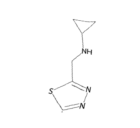 [c]1nnc(CNC2CC2)s1